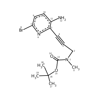 CN(CC#Cc1nc(Br)ccc1N)C(=O)OC(C)(C)C